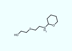 OCCSCC[SiH2]C1CCCCO1